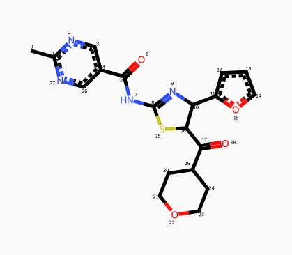 Cc1ncc(C(=O)NC2=NC(c3ccco3)C(C(=O)C3CCOCC3)S2)cn1